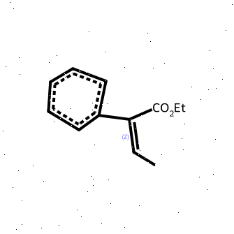 C/C=C(\C(=O)OCC)c1ccccc1